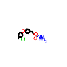 Cc1ccc(Oc2ccc(CCOC(=O)NN)cc2)cc1Cl